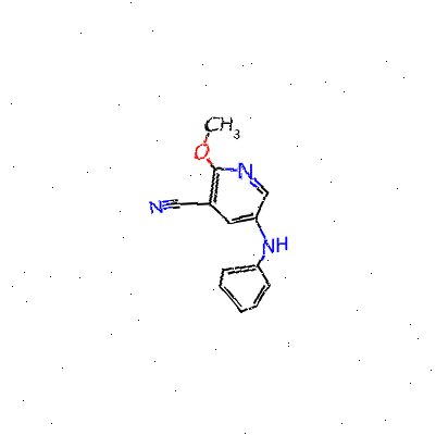 COc1ncc(Nc2ccccc2)cc1C#N